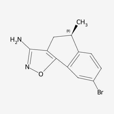 C[C@@H]1Cc2c(N)noc2-c2cc(Br)ccc21